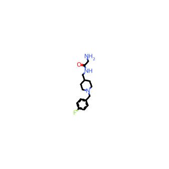 NCC(=O)NCC1CCN(Cc2ccc(F)cc2)CC1